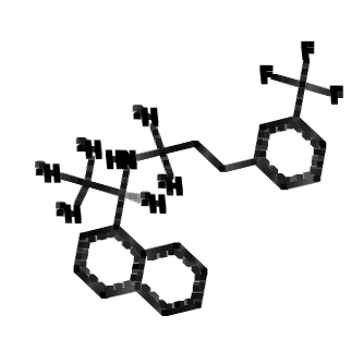 [2H]C([2H])(CCc1cccc(C(F)(F)F)c1)N[C@@]([2H])(c1cccc2ccccc12)C([2H])([2H])[2H]